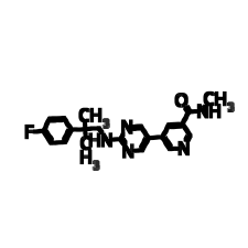 CNC(=O)c1cncc(-c2cnc(NCC(C)(C)c3ccc(F)cc3)nc2)c1